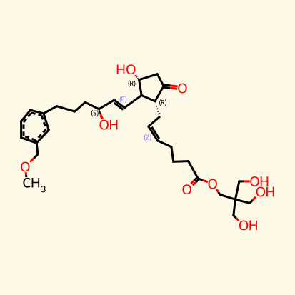 COCc1cccc(CCC[C@H](O)/C=C/C2[C@H](O)CC(=O)[C@@H]2C/C=C\CCCC(=O)OCC(CO)(CO)CO)c1